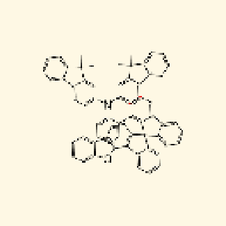 CC1(C)c2ccccc2-c2ccc(N(c3ccc4c(c3)C(C)(C)c3ccccc3-4)c3ccccc3-c3cccc4c3C3(c5ccccc5-4)c4ccccc4-c4c3ccc3c4oc4ccccc43)cc21